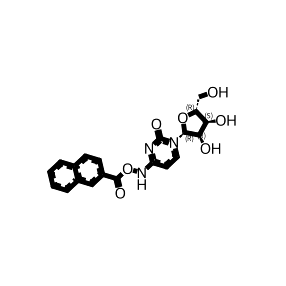 O=C(ONc1ccn([C@@H]2O[C@H](CO)[C@@H](O)[C@H]2O)c(=O)n1)c1ccc2ccccc2c1